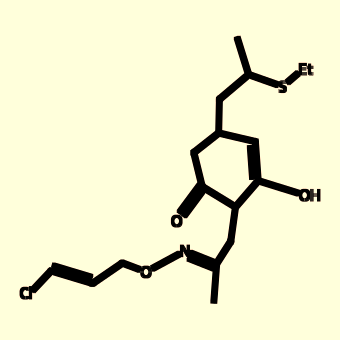 CCSC(C)CC1C=C(O)C(CC(C)=NOCC=CCl)C(=O)C1